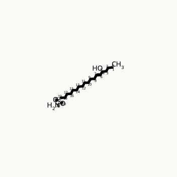 CCCCC(O)C=CCCCCCCCCCCCCS(N)(=O)=O